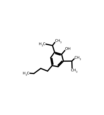 CCCCc1cc(C(C)C)c(O)c(C(C)C)c1